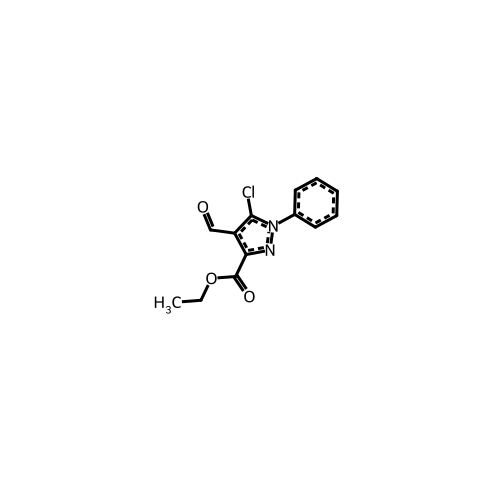 CCOC(=O)c1nn(-c2ccccc2)c(Cl)c1C=O